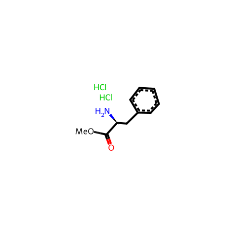 COC(=O)[C@@H](N)Cc1ccccc1.Cl.Cl